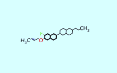 C/C=C/COc1cc2ccc(C3CCC4CC(CCC)CCC4C3)cc2cc1F